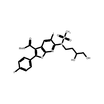 CNC(=O)c1c(-c2ccc(F)cc2)oc2nc(N(CCC(O)CO)S(C)(=O)=O)c(I)cc12